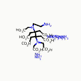 N.N.N.N.N.N.N.NCCN(CC(=O)O)C(CC(=O)O)(CC(=O)O)C(CC(=O)O)(CC(=O)O)N(CC(=O)O)CC(=O)O